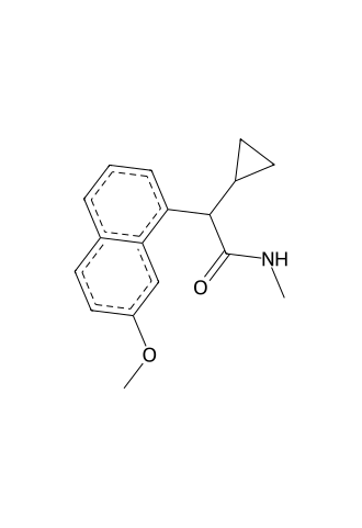 CNC(=O)C(c1cccc2ccc(OC)cc12)C1CC1